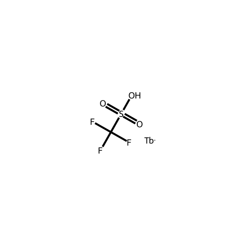 O=S(=O)(O)C(F)(F)F.[Tb]